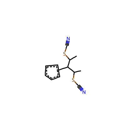 CC(SC#N)C(c1ccccc1)C(C)SC#N